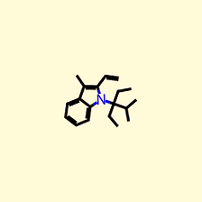 C=Cc1c(C)c2ccccc2n1C(CC)(CC)C(C)C